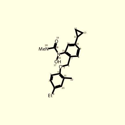 CCc1ccc(OCc2ccc(C3CC3)cc2N(O)C(=O)NC)c(C)c1